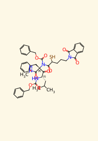 CNC(=O)[C@@](Cc1ccccc1)(C(=O)[C@H](CC(C)C)NC(=O)OCc1ccccc1)N(C(=O)OCc1ccccc1)C(=O)C(S)CCCN1C(=O)c2ccccc2C1=O